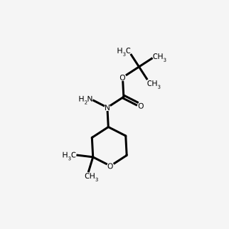 CC(C)(C)OC(=O)N(N)C1CCOC(C)(C)C1